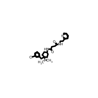 CN(C)C1(Cc2cccc(Cl)c2)CCC(NC(=O)CCC(=O)NCCc2ccccn2)CC1